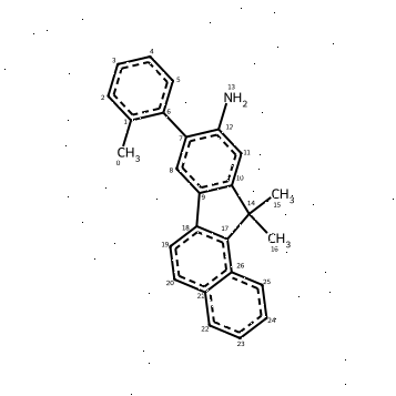 Cc1ccccc1-c1cc2c(cc1N)C(C)(C)c1c-2ccc2ccccc12